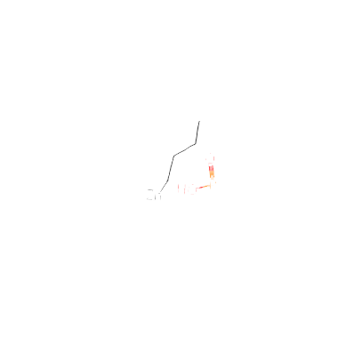 CCC[CH2][Zn].O=PO